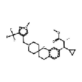 COC(=O)[C@H](C)[C@H](c1ccc2c(c1)OC1(CC2)CCN(Cc2cn(C)nc2C(F)(F)F)CC1)C1CC1